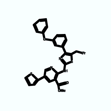 COC(=O)c1cc(-c2cccs2)cnc1Nc1nc(-c2cccc(Oc3ccccc3)c2)c(CC(C)C)s1